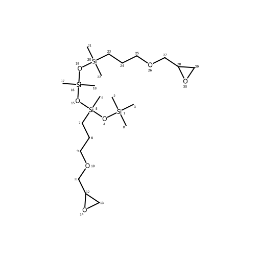 C[Si](C)(C)O[Si](C)(CCCOCC1CO1)O[Si](C)(C)O[Si](C)(C)CCCOCC1CO1